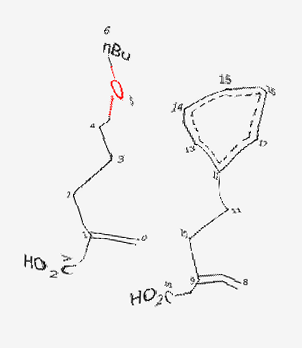 C=C(CCCOCCCC)C(=O)O.C=C(CCc1ccccc1)C(=O)O